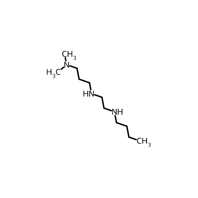 CCCCNCCNCCCN(C)C